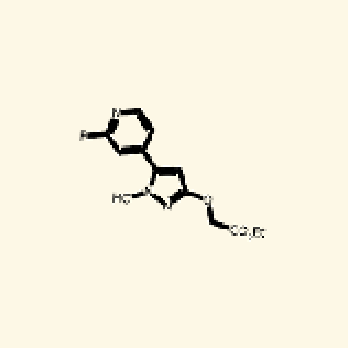 CCOC(=O)COc1cc(-c2ccnc(F)c2)n(O)n1